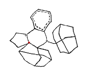 c1ccc(P(C23CC4CC(CC(C4)C2)C3)C23CC4CC(CC(C4)C2)C3)c(N2CCCC2)c1